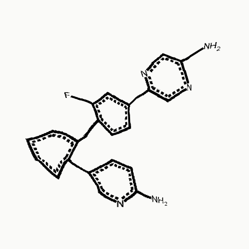 Nc1ccc(-c2ccccc2-c2ccc(-c3cnc(N)cn3)cc2F)cn1